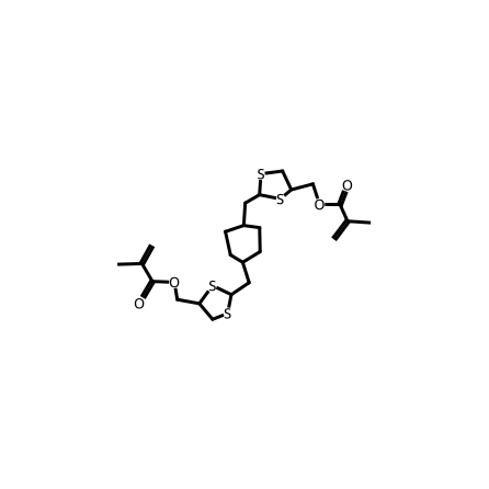 C=C(C)C(=O)OCC1CSC(CC2CCC(CC3SCC(COC(=O)C(=C)C)S3)CC2)S1